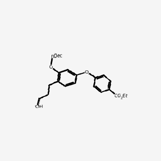 CCCCCCCCCCOc1cc(Oc2ccc(C(=O)OCC)cc2)ccc1CCCO